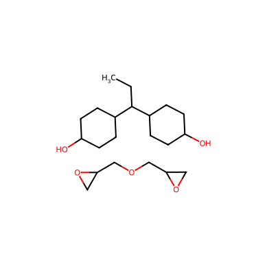 C(OCC1CO1)C1CO1.CCC(C1CCC(O)CC1)C1CCC(O)CC1